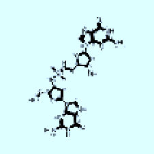 C[Si](C)(NC[C@H]1O[C@@H](n2cnc3c(=O)[nH]c(N)nc32)C[C@@H]1O)N[C@H]1C[C@H](n2cnc3c(=O)[nH]c(N)nc32)O[C@@H]1CO